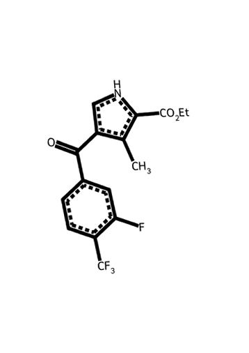 CCOC(=O)c1[nH]cc(C(=O)c2ccc(C(F)(F)F)c(F)c2)c1C